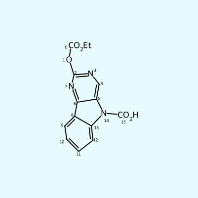 CCOC(=O)Oc1ncc2c(n1)c1ccccc1n2C(=O)O